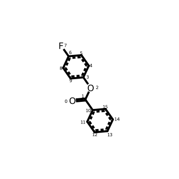 O=C(Oc1ccc(F)cc1)c1ccccc1